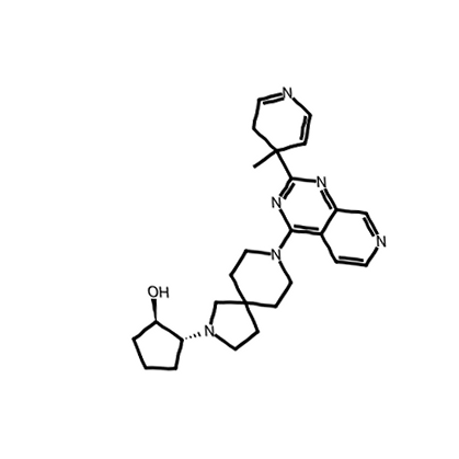 CC1(c2nc(N3CCC4(CC3)CCN([C@@H]3CCC[C@H]3O)C4)c3ccncc3n2)C=CN=CC1